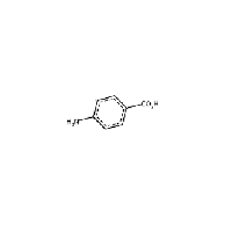 Nc1[c]cc(C(=O)O)cc1